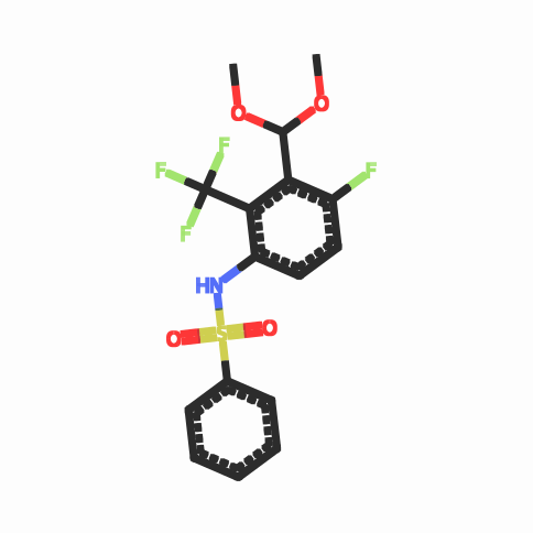 COC(OC)c1c(F)ccc(NS(=O)(=O)c2ccccc2)c1C(F)(F)F